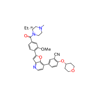 CC[C@@H]1CN(C)CCN1C(=O)c1ccc(-c2cc3nccc(-c4ccc(OC5CCOCC5)c(C#N)c4)c3o2)c(OC)c1